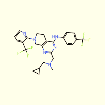 CN(Cc1nc2c(c(Nc3ccc(C(F)(F)F)cc3)n1)CCN(c1ncccc1C(F)(F)F)C2)CC1CC1